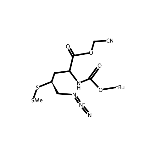 CSS[C@H](CN=[N+]=[N-])CC(NC(=O)OC(C)(C)C)C(=O)OCC#N